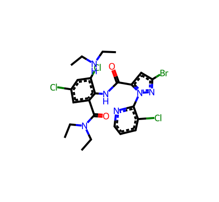 CCN(CC)C(=O)c1cc(Cl)cc(Cl)c1NC(=O)c1cc(Br)nn1-c1ncccc1Cl.CCNCC